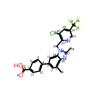 Cc1cc(-c2ccc(C(=O)O)cc2)cc2c1nc(C)n2Cc1ncc(C(F)(F)F)cc1Cl